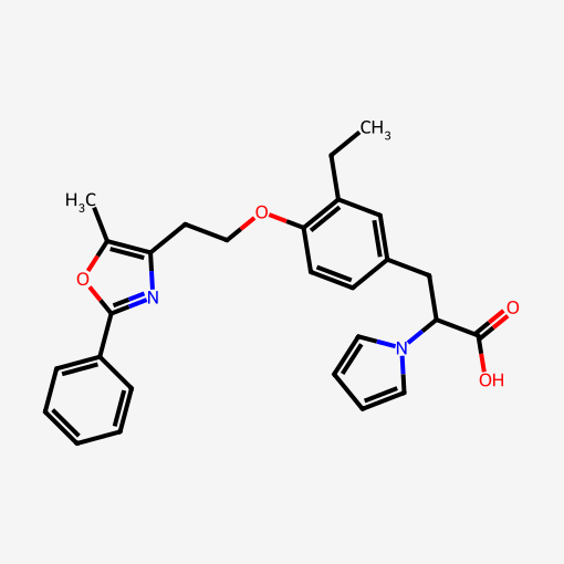 CCc1cc(CC(C(=O)O)n2cccc2)ccc1OCCc1nc(-c2ccccc2)oc1C